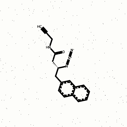 C#CCNC(=O)C[C@@H](Cc1ccc2ccccc2c1)N=[N+]=[N-]